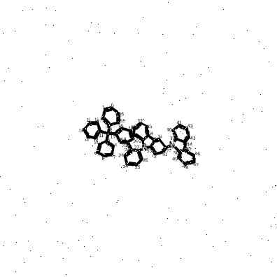 c1ccc(C(c2ccccc2)(c2ccccc2)c2cccc(-c3ccccc3-n3c4ccccc4c4cc(-n5c6ccccc6c6ccccc65)ccc43)c2)cc1